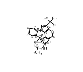 CC(=O)Nc1nc2c(s1)-c1c(c(C(F)(F)I)nn1-c1ccccc1C1(F)CC1)OC2